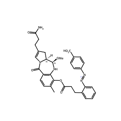 CO[C@H]1Nc2c(ccc(C)c2OC(=O)CCc2ccccc2/N=N/c2ccc(C(=O)O)cc2)C(=O)N2C=C(CCC(N)=O)C[C@@H]12